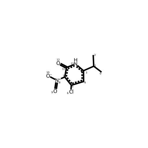 CC(C)c1cc(Cl)c([N+](=O)[O-])c(=O)[nH]1